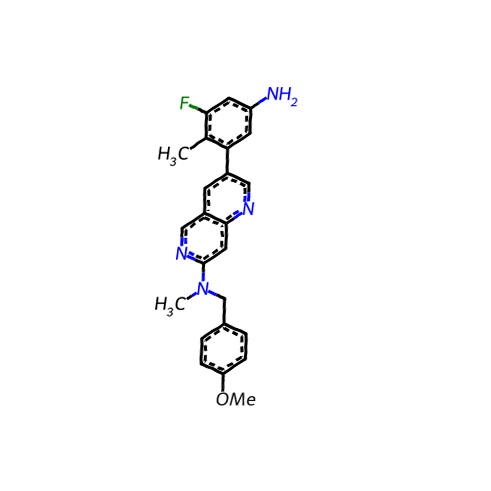 COc1ccc(CN(C)c2cc3ncc(-c4cc(N)cc(F)c4C)cc3cn2)cc1